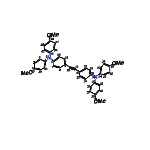 COc1ccc(N(c2ccc(C#Cc3ccc(N(c4ccc(OC)cc4)c4ccc(OC)cc4)cc3)cc2)c2ccc(OC)cc2)cc1